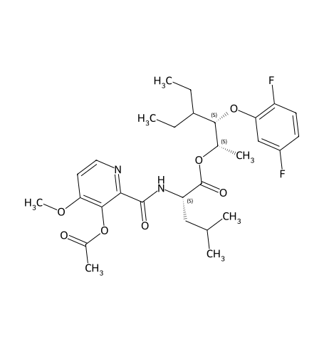 CCC(CC)[C@H](Oc1cc(F)ccc1F)[C@H](C)OC(=O)[C@H](CC(C)C)NC(=O)c1nccc(OC)c1OC(C)=O